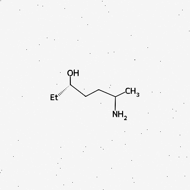 CC[C@H](O)CCC(C)N